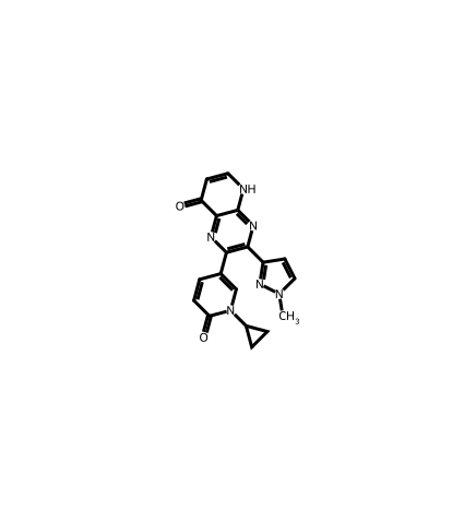 Cn1ccc(-c2nc3[nH]ccc(=O)c3nc2-c2ccc(=O)n(C3CC3)c2)n1